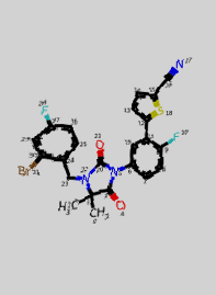 CC1(C)C(=O)N(c2ccc(F)c(-c3ccc(C#N)s3)c2)C(=O)N1Cc1ccc(F)cc1Br